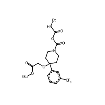 CCNC(=O)OC(=O)N1CCC(OCC(=O)OC(C)(C)C)(c2cccc(C(F)(F)F)c2)CC1